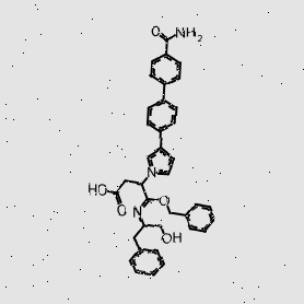 NC(=O)c1ccc(-c2ccc(-c3ccn(C(CC(=O)O)C(=NC(CO)Cc4ccccc4)OCc4ccccc4)c3)cc2)cc1